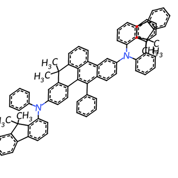 CC1(C)c2ccccc2-c2cccc(N(c3ccccc3)c3ccc4c(c3)C(C)(C)c3cccc5c3c-4c(-c3ccccc3)c3ccc(N(c4ccccc4-c4ccccc4)c4cccc6c4C(C)(C)c4ccccc4-6)cc35)c21